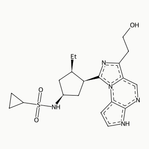 CC[C@@H]1C[C@H](NS(=O)(=O)C2CC2)C[C@@H]1c1nc(CCO)c2cnc3[nH]ccc3n12